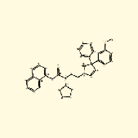 COc1cccc(C2(c3ccncc3)N=CN(CCN(C(=O)Cc3cccc4ccccc34)C3CCCC3)N2)c1